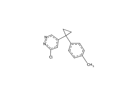 Cc1ccc(C2(c3cnnc(Cl)c3)CC2)cc1